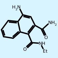 CCNC(=O)c1c(C(N)=O)cc(N)c2ccccc12